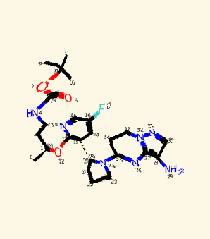 C[C@@H](CCNC(=O)OC(C)(C)C)Oc1ncc(F)cc1[C@H]1CCCN1C1=Nc2c(N)cnn2CC1